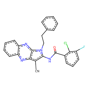 N#Cc1c(NC(=O)c2cccc(F)c2Cl)n(CCc2ccccc2)c2nc3ccccc3nc12